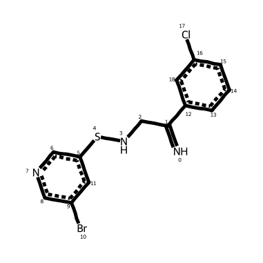 N=C(CNSc1cncc(Br)c1)c1cccc(Cl)c1